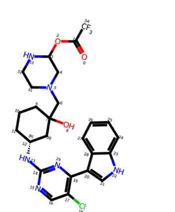 O=C(OC1CN(CC2(O)CCC[C@@H](Nc3ncc(Cl)c(-c4c[nH]c5ccccc45)n3)C2)CCN1)C(F)(F)F